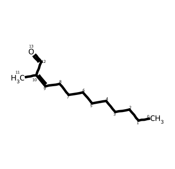 CCCCCCCCCC=C(C)C=O